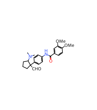 COc1ccc(C(=O)Nc2ccc(C3(C=O)CCCC3N(C)C)cc2)cc1OC